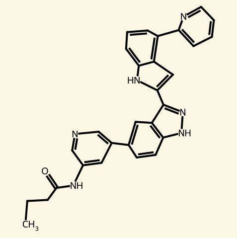 CCCC(=O)Nc1cncc(-c2ccc3[nH]nc(-c4cc5c(-c6ccccn6)cccc5[nH]4)c3c2)c1